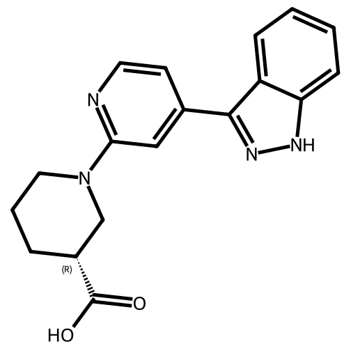 O=C(O)[C@@H]1CCCN(c2cc(-c3n[nH]c4ccccc34)ccn2)C1